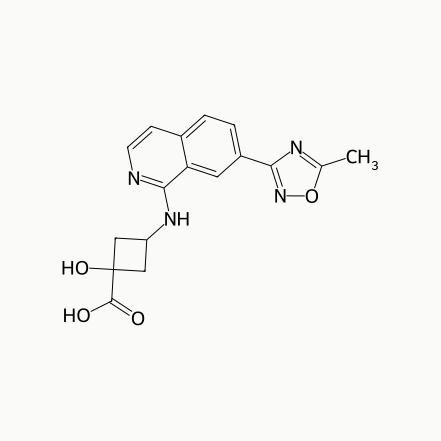 Cc1nc(-c2ccc3ccnc(NC4CC(O)(C(=O)O)C4)c3c2)no1